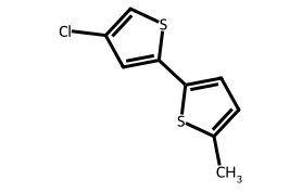 Cc1ccc(-c2cc(Cl)cs2)s1